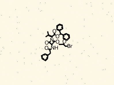 CC(C)=C(C(=O)OC(c1ccccc1)c1ccccc1)N1C(=O)C(NC(=O)Cc2ccccc2)[C@@H]1OCC(=O)CBr